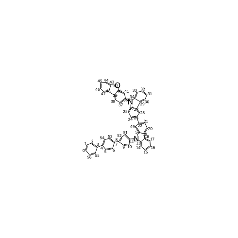 c1ccc(-c2ccc(-c3ccc(-n4c5ccccc5c5ccc(-c6ccc7c(c6)c6ccccc6n7-c6ccc7c(c6)oc6ccccc67)cc54)cc3)cc2)cc1